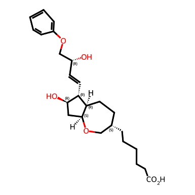 O=C(O)CCCCC[C@H]1CC[C@@H]2[C@@H](C=C[C@@H](O)COc3ccccc3)[C@H](O)C[C@@H]2OC1